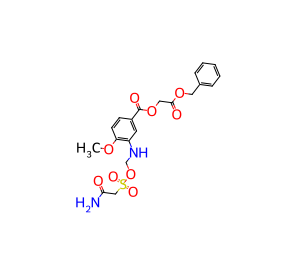 COc1ccc(C(=O)OCC(=O)OCc2ccccc2)cc1NCOS(=O)(=O)CC(N)=O